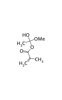 C=C(C)C(=O)OC(C)(O)OC